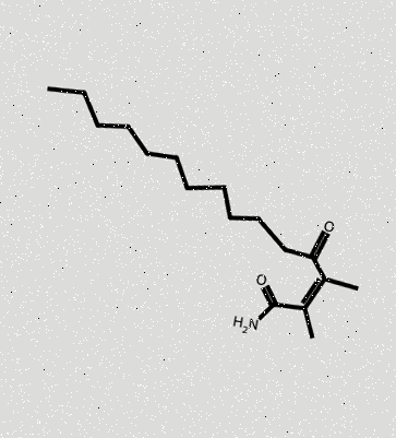 CCCCCCCCCCCC(=O)C(C)=C(C)C(N)=O